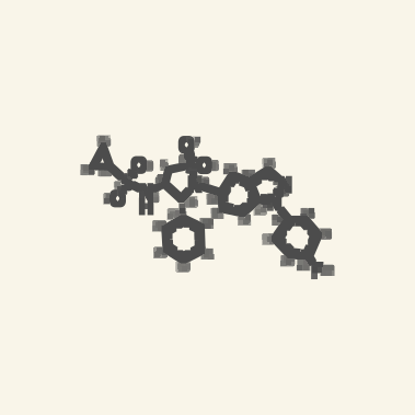 O=S(=O)(N[C@H]1CS(=O)(=O)N(c2ccc3c(cnn3-c3ccc(F)cc3)c2)[C@@H]1c1ccccc1)C1CC1